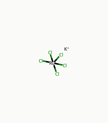 [Cl][Ru-]([Cl])([Cl])([Cl])[Cl].[K+]